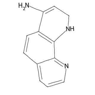 NC1=CCNc2c1ccc1cccnc21